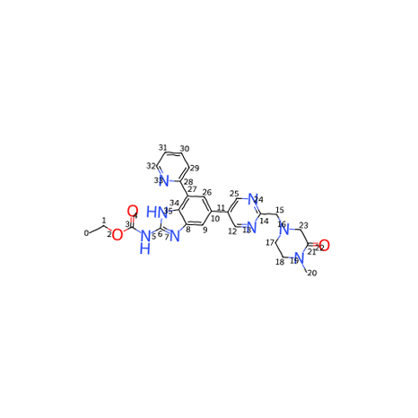 CCOC(=O)Nc1nc2cc(-c3cnc(CN4CCN(C)C(=O)C4)nc3)cc(-c3ccccn3)c2[nH]1